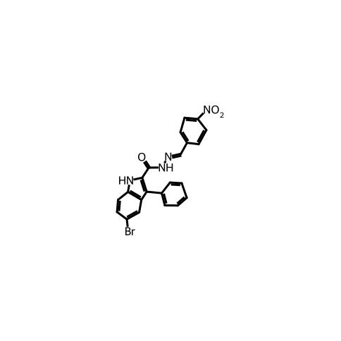 O=C(NN=Cc1ccc([N+](=O)[O-])cc1)c1[nH]c2ccc(Br)cc2c1-c1ccccc1